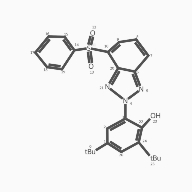 CC(C)(C)c1cc(-n2nc3cccc(S(=O)(=O)c4ccccc4)c3n2)c(O)c(C(C)(C)C)c1